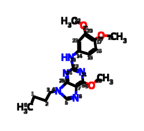 CCCCn1cnc2c(OC)nc(Nc3ccc(OC)c(OC)c3)nc21